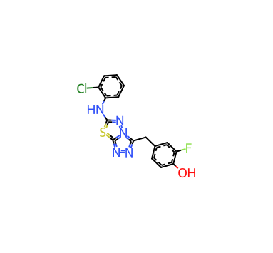 Oc1ccc(Cc2nnc3sc(Nc4ccccc4Cl)nn23)cc1F